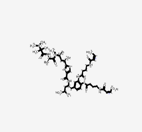 CC[C@H](C)[C@H](NC(=O)C(C)(C)N(C)C)C(=O)N(C)[C@H](C[C@@H](OC(C)=O)c1nc(C(=O)N[C@@H](Cc2ccc(OC(=O)CCCNC(=O)/C=C\C(=O)O)c(NC(=O)CCCNC(=O)/C=C\C(=O)O)c2)CC(C)C(=O)O)cs1)C(C)C